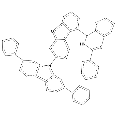 c1ccc(C2=Nc3ccccc3C(c3cccc4oc5cc(-n6c7cc(-c8ccccc8)ccc7c7ccc(-c8ccccc8)cc76)ccc5c34)N2)cc1